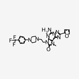 Cn1c(=O)n(CCN2CCN(c3ccc(C(F)(F)F)cc3)CC2)c2nc(N)n3nc(-c4ccco4)nc3c21